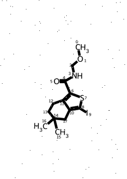 COCNC(=O)c1sc(I)c2c1CCC(C)(C)C2